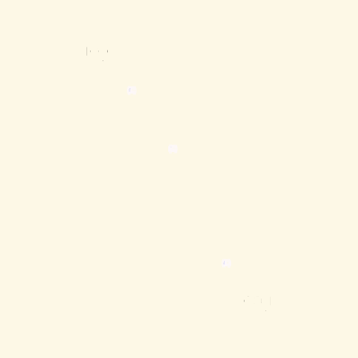 C/C(=C\C=C\CC/C=C(\C)C(=O)O)C(=O)O